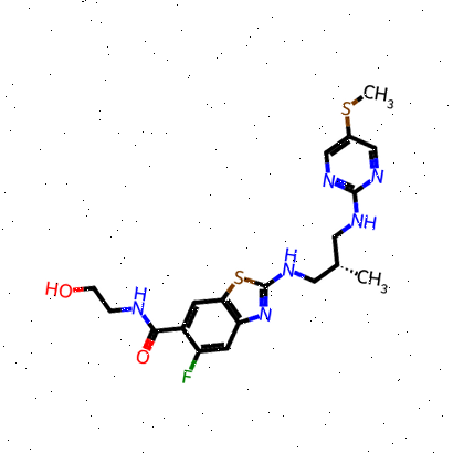 CSc1cnc(NC[C@H](C)CNc2nc3cc(F)c(C(=O)NCCO)cc3s2)nc1